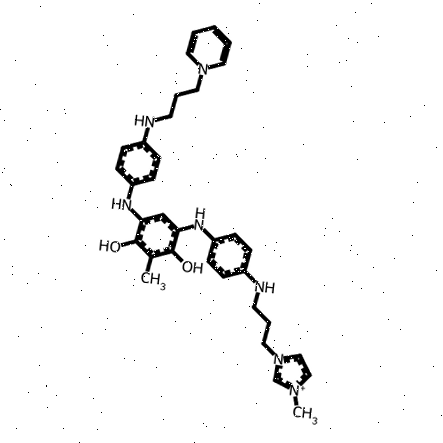 Cc1c(O)c(Nc2ccc(NCCCN3C=C=CC=C3)cc2)cc(Nc2ccc(NCCCn3cc[n+](C)c3)cc2)c1O